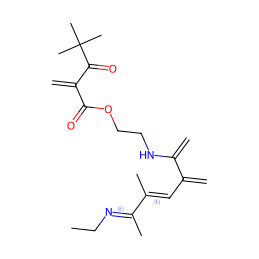 C=C(/C=C(C)/C(C)=N/CC)C(=C)NCCOC(=O)C(=C)C(=O)C(C)(C)C